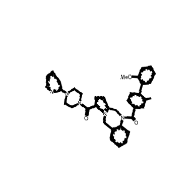 COc1ccccc1-c1ccc(C(=O)N2Cc3ccc(C(=O)N4CCN(c5ccccn5)CC4)n3Cc3ccccc32)cc1C